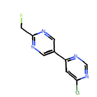 FCc1ncc(-c2cc(Cl)ncn2)cn1